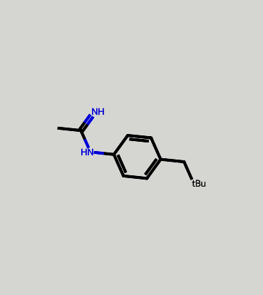 CC(=N)Nc1ccc(CC(C)(C)C)cc1